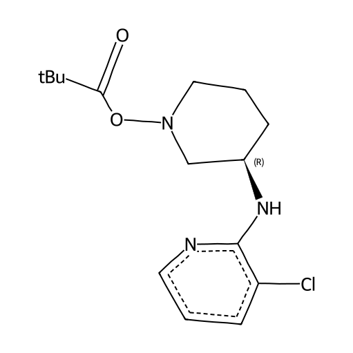 CC(C)(C)C(=O)ON1CCC[C@@H](Nc2ncccc2Cl)C1